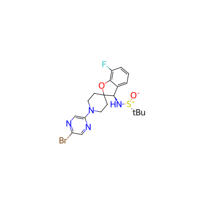 CC(C)(C)[S@@+]([O-])N[C@@H]1c2cccc(F)c2OC12CCN(c1cnc(Br)cn1)CC2